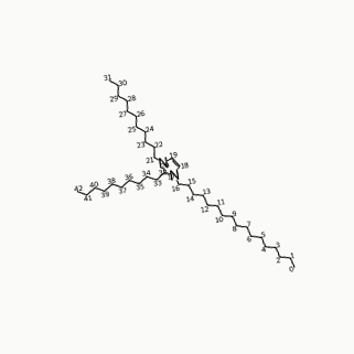 CCCCCCCCCCCCCCCCCN1C=CN(CCCCCCCCCCC)C1CCCCCCCCCC